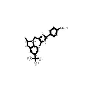 Cc1oc(-c2ccc(C(=O)O)cc2)nc1CN1c2ccc(C(O)(C(F)(F)F)C(F)(F)F)cc2CC1C